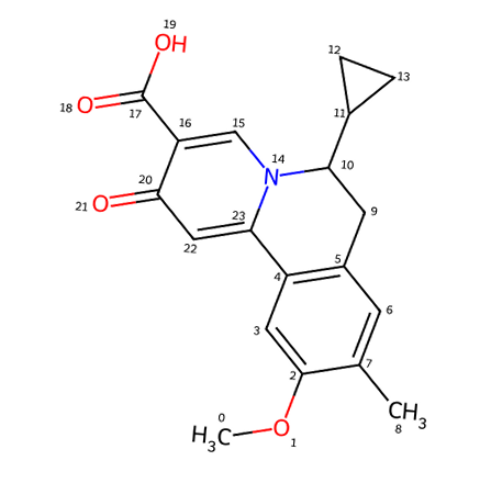 COc1cc2c(cc1C)CC(C1CC1)n1cc(C(=O)O)c(=O)cc1-2